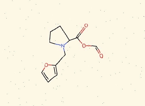 O=COC(=O)C1CCCN1Cc1ccco1